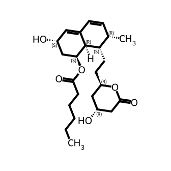 CCCCCC(=O)O[C@H]1C[C@H](O)C=C2C=C[C@H](C)[C@H](CC[C@@H]3C[C@@H](O)CC(=O)O3)[C@H]21